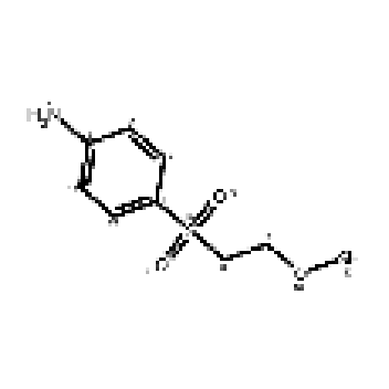 Nc1ccc(S(=O)(=O)CCOS)cc1